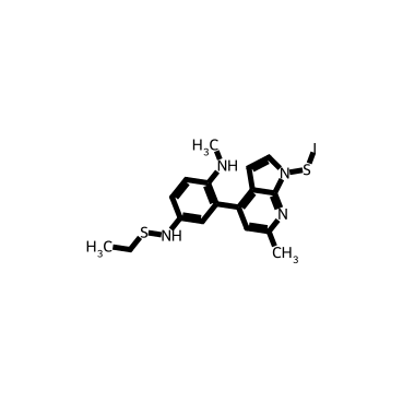 CCSNc1ccc(NC)c(-c2cc(C)nc3c2ccn3SI)c1